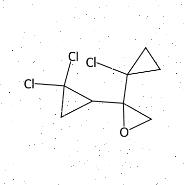 ClC1(Cl)CC1C1(C2(Cl)CC2)CO1